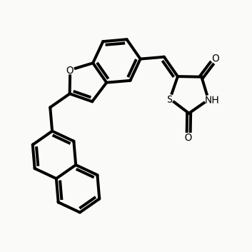 O=C1NC(=O)C(=Cc2ccc3oc(Cc4ccc5ccccc5c4)cc3c2)S1